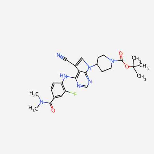 CN(C)C(=O)c1ccc(Nc2ncnc3c2c(C#N)cn3C2CCN(C(=O)OC(C)(C)C)CC2)c(F)c1